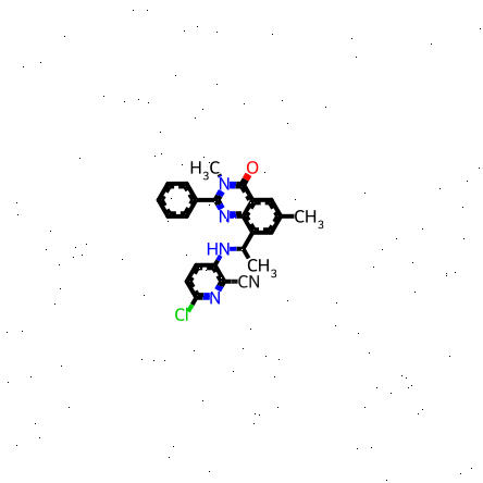 Cc1cc(C(C)Nc2ccc(Cl)nc2C#N)c2nc(-c3ccccc3)n(C)c(=O)c2c1